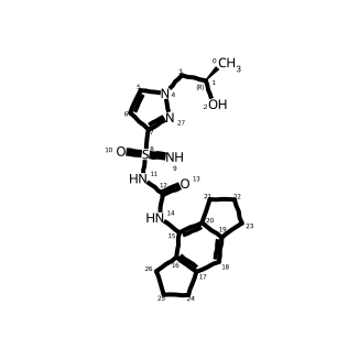 C[C@@H](O)Cn1ccc(S(=N)(=O)NC(=O)Nc2c3c(cc4c2CCC4)CCC3)n1